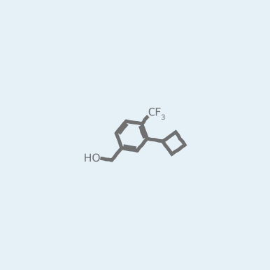 OCc1ccc(C(F)(F)F)c(C2CCC2)c1